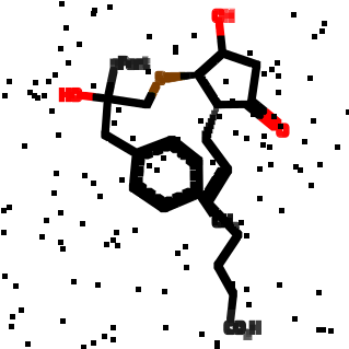 CCCCCC(O)(CS[C@H]1C(O)CC(=O)[C@@H]1CC=CCCCC(=O)O)Cc1ccc(C)cc1